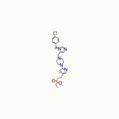 CCS(=O)(=O)CCc1cnc(N2CCN(Cc3cncn3[C@H](C)c3ccc(Cl)cc3)CC2)s1